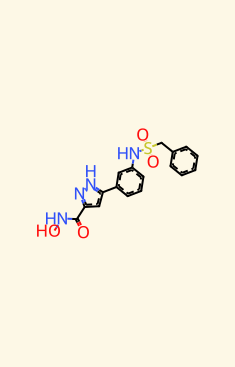 O=C(NO)c1cc(-c2cccc(NS(=O)(=O)Cc3ccccc3)c2)[nH]n1